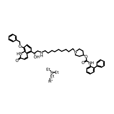 CCN(CC)CC.O=C(Nc1ccccc1-c1ccccc1)OC1CCN(CCCCCCCCCNC[C@H](O)c2ccc(OCc3ccccc3)c3[nH]c(=O)ccc23)CC1.[F-].[H+]